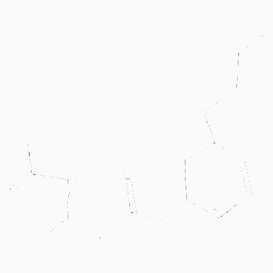 CCCCc1cccc(CC(=O)OC(C)OC(C)=O)c1